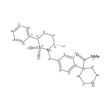 CNC(=O)C1(c2ccc(CN3[C@@H](C)CCC(c4ccccc4)S3(=O)=O)cc2)CCOCC1